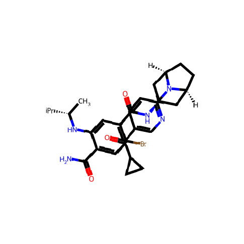 CC(C)[C@H](C)Nc1cc(C(=O)N[C@H]2C[C@H]3CC[C@@H](C2)N3c2ccc(C(=O)C3CC3)cn2)c(Br)cc1C(N)=O